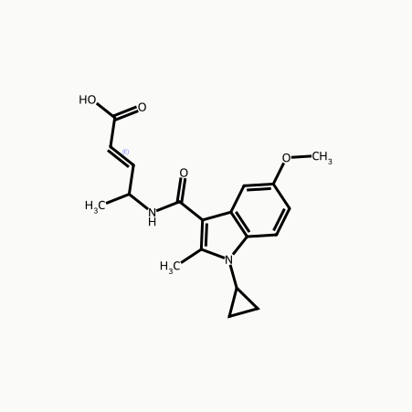 COc1ccc2c(c1)c(C(=O)NC(C)/C=C/C(=O)O)c(C)n2C1CC1